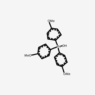 COc1ccc([PH](O)(c2ccc(OC)cc2)c2ccc(OC)cc2)cc1